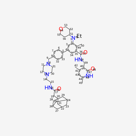 CCN(c1cc(-c2ccc(CN3CCN(CCNC(=O)CC45CC6CC(CC(C6)C4)C5)CC3)cc2)cc(C(=O)NCc2c(C)cc(C)[nH]c2=O)c1C)C1CCOCC1